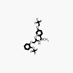 C[C@@H](NC(=O)COc1ccccc1OC(F)(F)F)c1ccc(OCC(F)(F)F)cn1